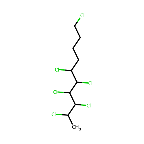 CC(Cl)C(Cl)C(Cl)C(Cl)C(Cl)CCCCCl